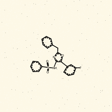 O=S(=O)(Nc1nc(Cc2ccccc2)oc1-c1cccc(F)c1)c1ccccc1